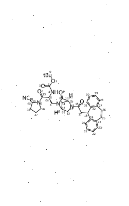 CC(C)(C)OC(=O)N[C@@H](CN1C(=O)[C@@H]2C[C@H]1CN2C(=O)CC1c2ccccc2C=Cc2ccccc21)C(=O)N1CCC[C@H]1C#N